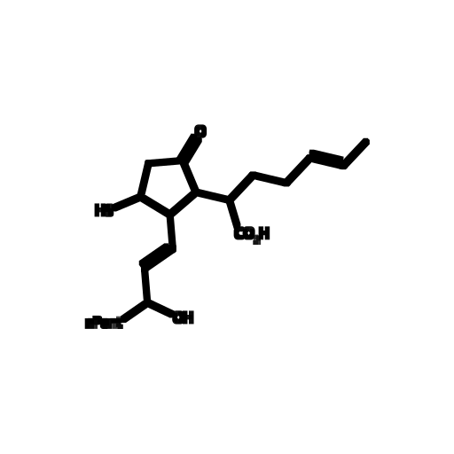 C/C=C/CCC(C(=O)O)C1C(=O)CC(S)C1/C=C/C(O)CCCCC